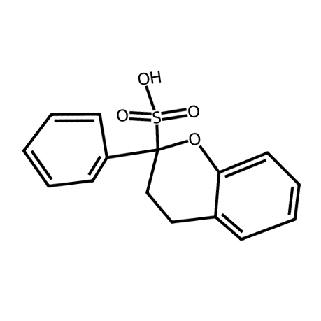 O=S(=O)(O)C1(c2ccccc2)CCc2ccccc2O1